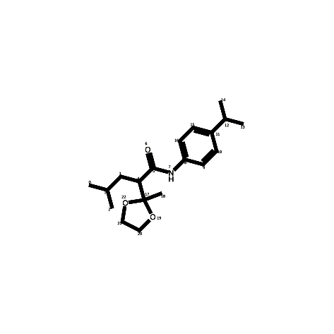 CC(C)CC(C(=O)Nc1ccc(C(C)C)cc1)C1(C)OCCO1